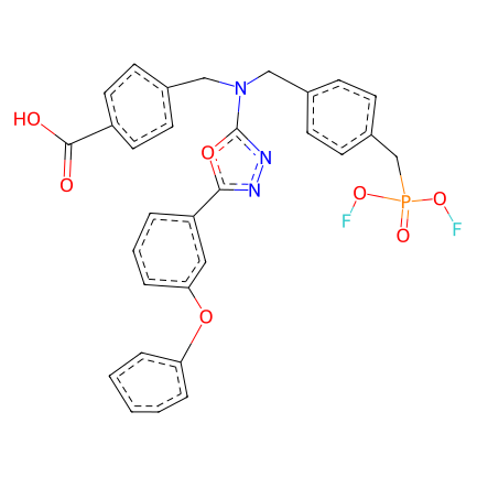 O=C(O)c1ccc(CN(Cc2ccc(CP(=O)(OF)OF)cc2)c2nnc(-c3cccc(Oc4ccccc4)c3)o2)cc1